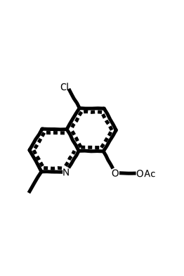 CC(=O)OOc1ccc(Cl)c2ccc(C)nc12